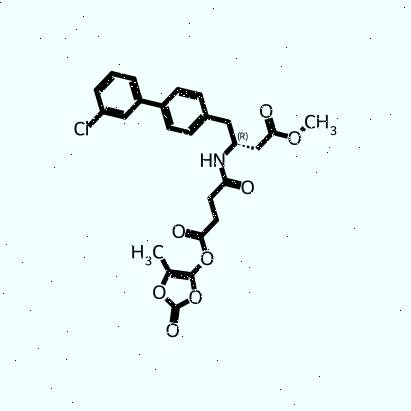 COC(=O)C[C@@H](Cc1ccc(-c2cccc(Cl)c2)cc1)NC(=O)CCC(=O)Oc1oc(=O)oc1C